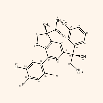 C[C@]1(C(N)=O)COc2c1cc([C@@](O)(CN)c1cccc(C#N)c1)nc2-c1cc(Cl)c(F)cc1F